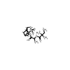 CCC(C)(C)C(=O)OC(C)C(=O)OC1C2CC3C1OS(=O)(=O)C3C2